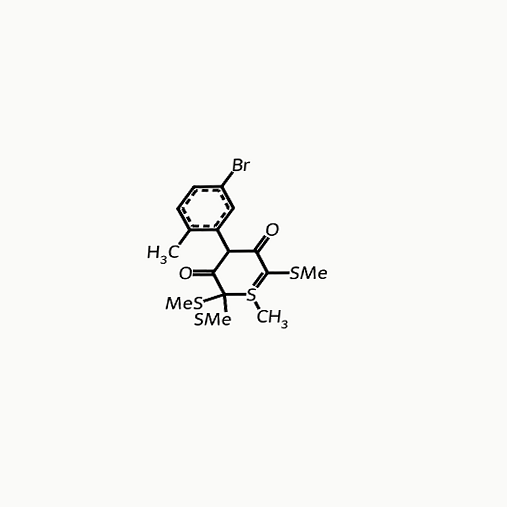 CSC1=S(C)C(SC)(SC)C(=O)C(c2cc(Br)ccc2C)C1=O